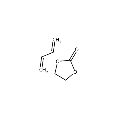 C=CC=C.O=C1OCCO1